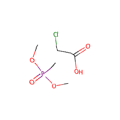 COP(C)(=O)OC.O=C(O)CCl